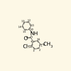 Cc1ccc(Cl)c(C(=O)Nc2ccccc2)c1